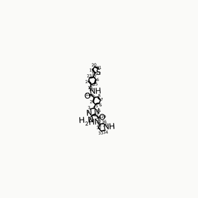 Nc1ncc(-c2cccc(C(=O)NCc3ccc(-c4cccs4)cc3)c2)nc1C(=O)N[C@H]1CCCNC1